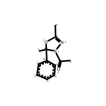 CC(=O)N1N=C(C)OC1(C)c1ccccc1